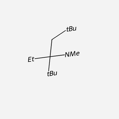 CCC(CC(C)(C)C)(NC)C(C)(C)C